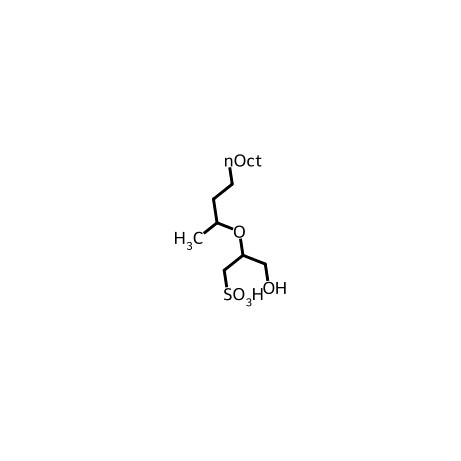 CCCCCCCCCCC(C)OC(CO)CS(=O)(=O)O